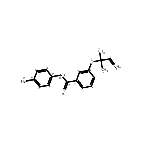 C=CC(C)(C)Oc1cccc(C(=O)Nc2ccc(S)cc2)c1